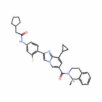 C[C@@H]1c2ccccc2CCN1C(=O)c1cc(C2CC2)c2nc(-c3ccc(NC(=O)CC4CCCC4)cc3F)cn2c1